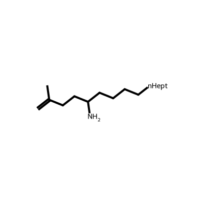 C=C(C)CCC(N)CCCCCCCCCCC